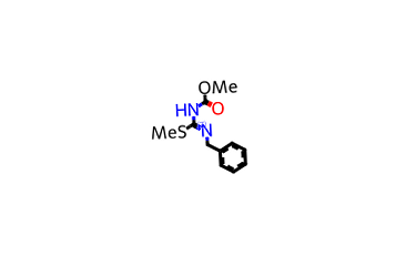 COC(=O)N/C(=N/Cc1ccccc1)SC